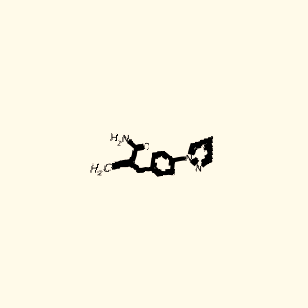 C=C(Cc1ccc(-n2cccn2)cc1)C(N)=O